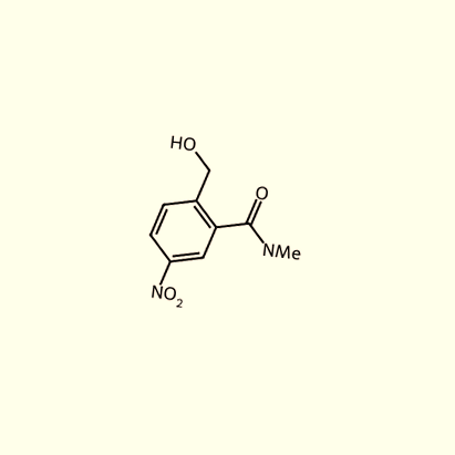 CNC(=O)c1cc([N+](=O)[O-])ccc1CO